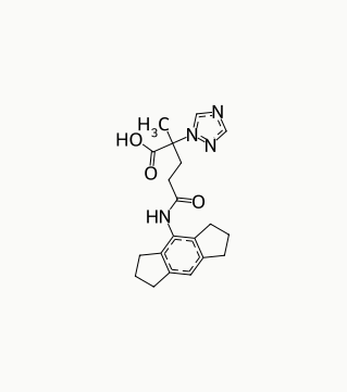 CC(CCC(=O)Nc1c2c(cc3c1CCC3)CCC2)(C(=O)O)n1cncn1